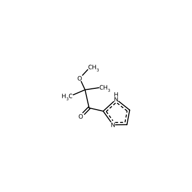 COC(C)(C)C(=O)c1ncc[nH]1